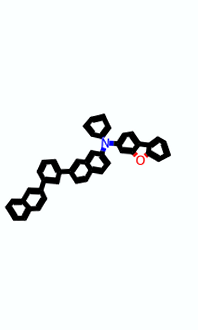 c1ccc(N(c2ccc3ccc(-c4cccc(-c5ccc6ccccc6c5)c4)cc3c2)c2ccc3c(c2)oc2ccccc23)cc1